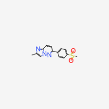 Cc1cn2nc(-c3ccc(S(C)(=O)=O)cc3)ccc2n1